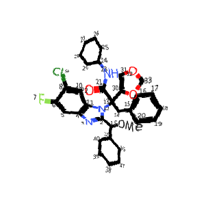 COC(c1nc2cc(F)c(Cl)cc2n1C(Cc1ccccc1)(C(=O)NC1CCCCC1)C1=COCO1)C1CCCCC1